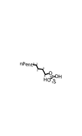 CCCCCCCCCOP(O)(O)=S